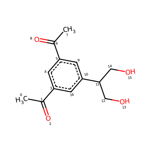 CC(=O)c1cc(C(C)=O)cc(C(CO)CO)c1